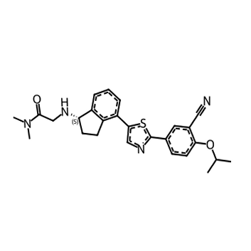 CC(C)Oc1ccc(-c2ncc(-c3cccc4c3CC[C@@H]4NCC(=O)N(C)C)s2)cc1C#N